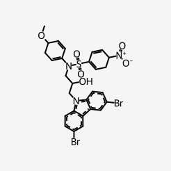 COC1C=CC(N(CC(O)Cn2c3ccc(Br)cc3c3cc(Br)ccc32)S(=O)(=O)C2=CCC([N+](=O)[O-])C=C2)=CC1